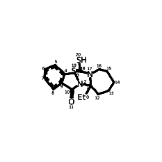 CCC1(N2Cc3ccccc3C2=O)CCCCCN1C(=S)S